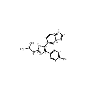 CC(O)Nc1nc(-c2ccc(F)cc2)c(-c2ccc3nccn3c2)[nH]1